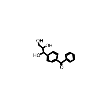 O=C(c1ccccc1)c1ccc(C(O)C(O)CO)cc1